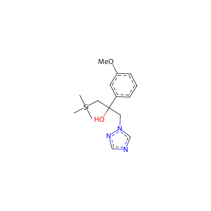 COc1cccc(C(O)(Cn2cncn2)C[Si](C)(C)C)c1